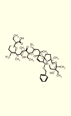 CC[C@@H](C(=O)[C@@H](C)[C@@H](O)[C@H](C)[C@@H]1O[C@@H]([C@@H](CC)C(=O)O)CC[C@@H]1C)[C@H]1OC2(C=CC(NOCc3ccccc3)[C@]3(CC[C@@](C)([C@H]4CC[C@](O)(CC)[C@H](C)O4)O3)O2)[C@H](C)C[C@@H]1C